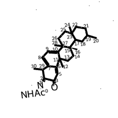 CC(=O)N/N=C1\C(=O)C=C2C(=CC=C3C2(C)CC[C@@]2(C)C4CC(C)CCC4(C)CCC32C)C1C